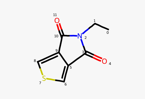 CCN1C(=O)c2cscc2C1=O